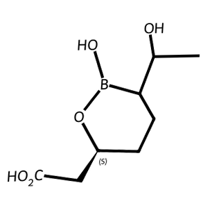 CC(O)C1CC[C@@H](CC(=O)O)OB1O